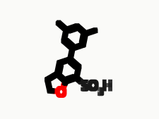 Cc1cc(C)cc(-c2cc3c(c(S(=O)(=O)O)c2)OCC3)c1